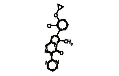 Cc1c(-c2cccc(OC3CC3)c2Cl)cc2cnn(-c3ncccn3)c(=O)n12